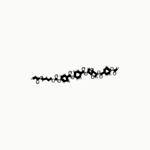 C=CC(=O)OCCCCOC(=O)Oc1ccc(C(=O)Oc2ccc(C(=O)O[C@@H]3COC4C3OC[C@H]4OC(=O)c3ccc(OC(C)=O)cc3)cc2)cc1